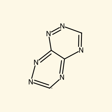 [c]1nnc2nncnc2n1